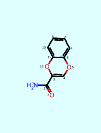 NC(=O)C1=COc2ccccc2O1